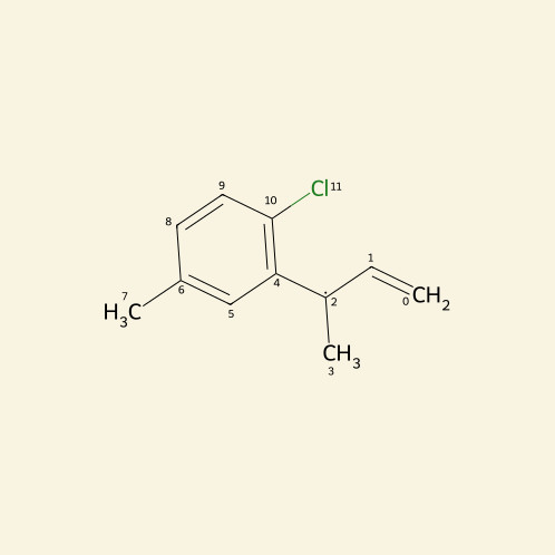 C=C[C](C)c1cc(C)ccc1Cl